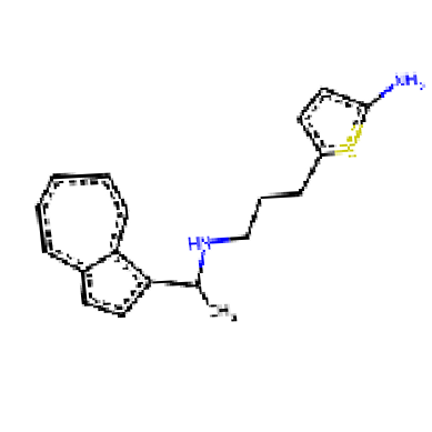 CC(NCCCc1ccc(N)s1)c1ccc2cccccc1-2